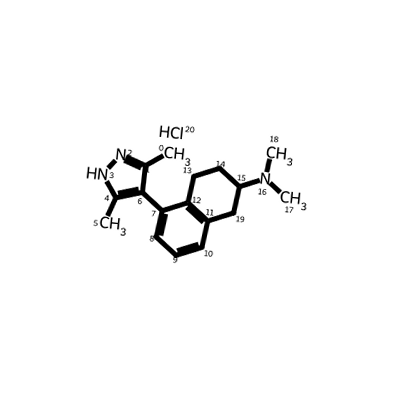 Cc1n[nH]c(C)c1-c1cccc2c1CCC(N(C)C)C2.Cl